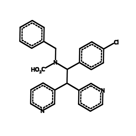 O=C(O)N(Cc1ccccc1)C(c1ccc(Cl)cc1)C(c1cccnc1)c1cccnc1